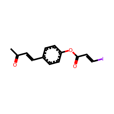 CC(=O)/C=C/c1ccc(OC(=O)/C=C/I)cc1